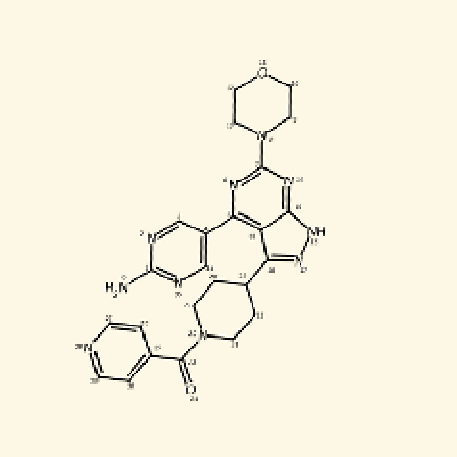 Nc1ncc(-c2nc(N3CCOCC3)nc3[nH]nc(C4CCN(C(=O)c5ccncc5)CC4)c23)cn1